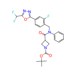 CC(C)(C)OC(=O)N1CC(C(=O)N(Cc2ccc(-c3nnc(C(F)F)o3)cc2F)c2ccccc2)C1